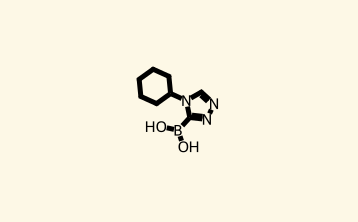 OB(O)c1nncn1C1CCCCC1